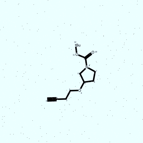 C#CCCOC1CCN(C(=O)OC(C)(C)C)C1